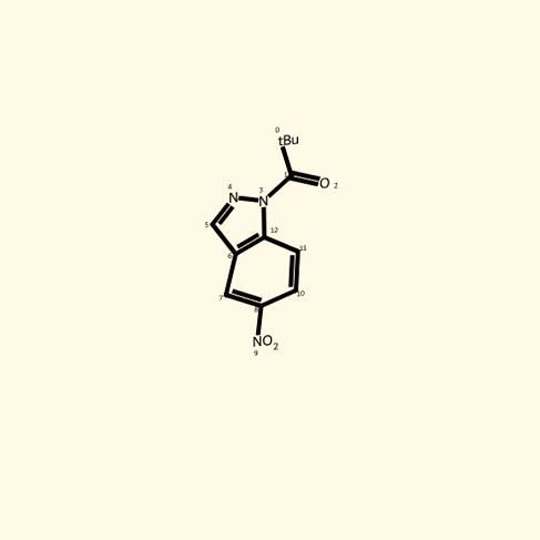 CC(C)(C)C(=O)n1ncc2cc([N+](=O)[O-])ccc21